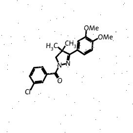 COc1ccc(C2=NN(C(=O)c3cccc(Cl)c3)CC2(C)C)cc1OC